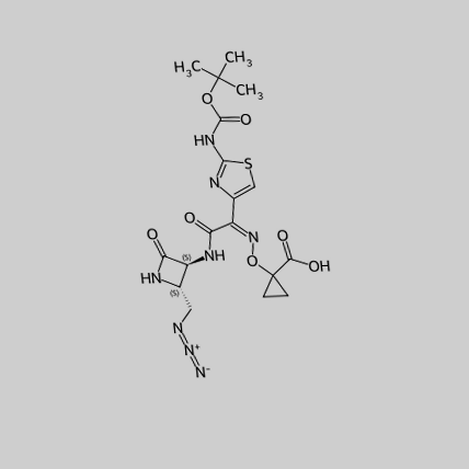 CC(C)(C)OC(=O)Nc1nc(C(=NOC2(C(=O)O)CC2)C(=O)N[C@@H]2C(=O)N[C@H]2CN=[N+]=[N-])cs1